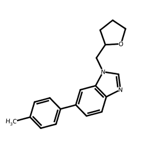 Cc1ccc(-c2ccc3ncn(CC4CCCO4)c3c2)cc1